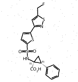 O=C(O)[C@]1(NS(=O)(=O)c2ccc(-c3cc(CF)sn3)s2)C[C@@H]1c1ccccc1